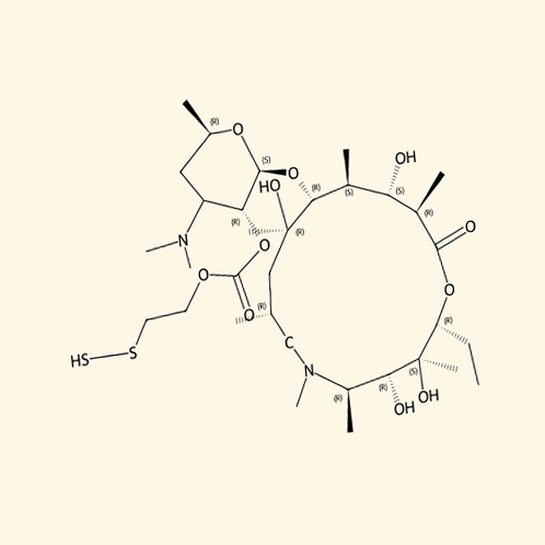 CC[C@H]1OC(=O)[C@H](C)[C@@H](O)[C@H](C)[C@@H](O[C@@H]2O[C@H](C)CC(N(C)C)[C@H]2OC(=O)OCCSS)[C@](C)(O)C[C@@H](C)CN(C)[C@H](C)[C@@H](O)[C@]1(C)O